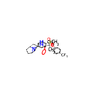 CC(C)(Oc1ccc(C(F)(F)F)cc1)C(=O)NC1CC2CCC(C1)N2c1ccc(S(C)(=O)=O)cc1